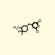 CC1CN(Cc2cc(Cl)nc(Cl)c2)CCC1(F)F